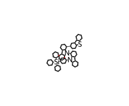 c1ccc([Si](c2ccccc2)(c2ccccc2)c2ccc(-n3c4ccccc4c4cccc(-n5c6ccccc6c6cccc(-c7ccc8sc9ccccc9c8c7)c65)c43)cc2)cc1